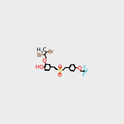 CC(Br)C(Br)COc1cc(C=CS(=O)(=O)CCc2ccc(OCC(F)(F)F)cc2)ccc1O